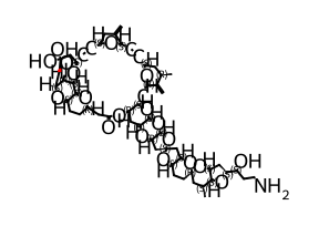 C=C1C[C@@H]2CC[C@]34CC(O)(O)C(O3)[C@@H]3O[C@H]5CC[C@H](CC(=O)O[C@@H]6C[C@@H]7O[C@@H]8C[C@]9(C[C@@H]%10O[C@@]%11(CC[C@@H]%10O9)C[C@H](C)[C@@H]9O[C@H]([C@@H](O)CCN)C[C@@H]9O%11)O[C@@H]8O[C@@H]7O[C@H]6C[C@H]6O[C@@H](CC[C@@H]1O2)C[C@@H](C)C6=C)O[C@@H]5[C@H](O4)[C@@H]3I